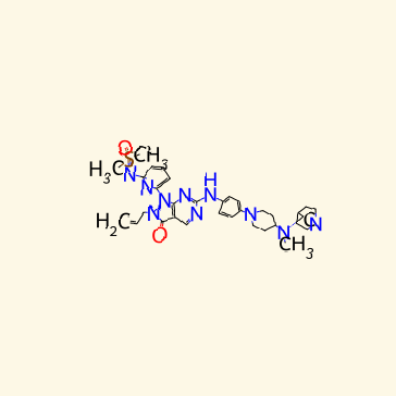 C=CCn1c(=O)c2cnc(Nc3ccc(N4CCC(N(C)C5CN6CCC5CC6)CC4)cc3)nc2n1-c1cccc(N=S(C)(C)=O)n1